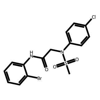 CS(=O)(=O)N(CC(=O)Nc1ccccc1Br)c1ccc(Cl)cc1